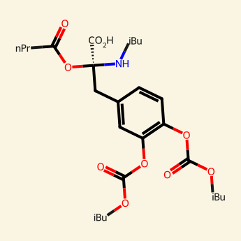 CCCC(=O)O[C@](Cc1ccc(OC(=O)OC(C)CC)c(OC(=O)OC(C)CC)c1)(NC(C)CC)C(=O)O